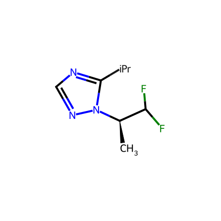 CC(C)c1ncnn1[C@H](C)C(F)F